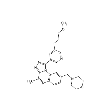 COCCCc1cncc(-c2nnc3c(C)nc4ccc(CN5CCOCC5)cc4n23)c1